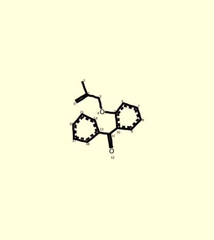 C=C(C)COc1ccccc1C(=O)c1ccccc1